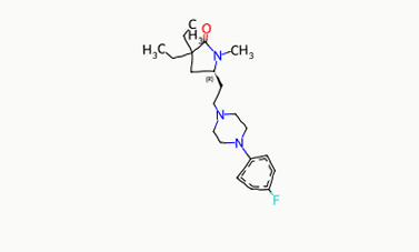 CCC1(CC)C[C@H](CCN2CCN(c3ccc(F)cc3)CC2)N(C)C1=O